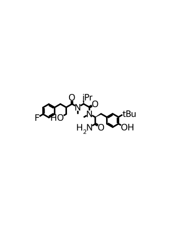 CC(C)[C@@H](C(=O)N(C)[C@@H](Cc1ccc(O)c(C(C)(C)C)c1)C(N)=O)N(C)C(=O)C(CO)Cc1ccc(F)cc1